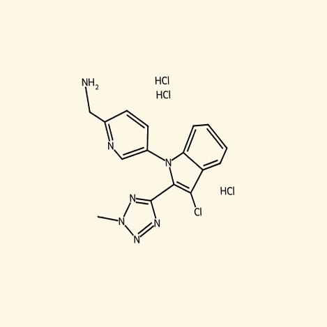 Cl.Cl.Cl.Cn1nnc(-c2c(Cl)c3ccccc3n2-c2ccc(CN)nc2)n1